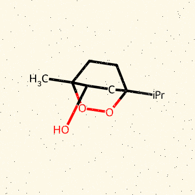 CC(C)C12CCC(C)(OO1)C(O)C2